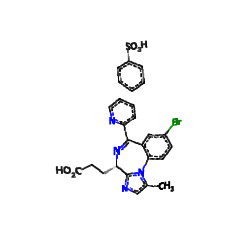 Cc1cnc2n1-c1ccc(Br)cc1C(c1ccccn1)=N[C@H]2CCC(=O)O.O=S(=O)(O)c1ccccc1